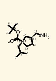 CC(C)C[N+]1(C(=O)OC(C)(C)C)CC[C@H](CN)C1